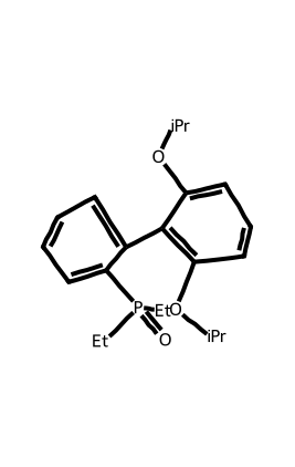 CCP(=O)(CC)c1ccccc1-c1c(OC(C)C)cccc1OC(C)C